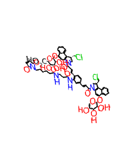 O=C(CCCCCN1C(=O)C=CC1=O)NCCC(=O)Nc1cc(/C=C/C(=O)N2C[C@@H](CCl)c3c2cc(O[C@@H]2OC[C@@H](O)[C@H](O)[C@H]2O)c2ccccc32)ccc1/C=C/C(=O)N1C[C@@H](CCl)c2c1cc(O[C@@H]1O[C@H](C(=O)O)[C@@H](O)[C@H](O)[C@H]1O)c1ccccc21